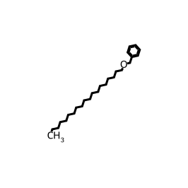 CCCCCCCCCCCCCCCCCCCOCc1ccccc1